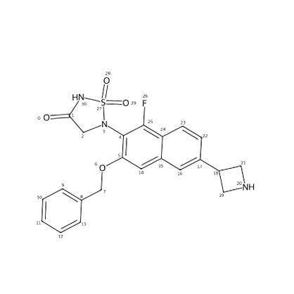 O=C1CN(c2c(OCc3ccccc3)cc3cc(C4CNC4)ccc3c2F)S(=O)(=O)N1